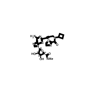 CNC(=O)[C@H]1O[C@@H](n2cnc3c(N)nc(C#CCN(C(=O)c4ncco4)C4CCC4)nc32)[C@H](O)[C@@H]1O